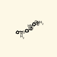 N[C@H](COc1ccc(-c2ccnc(Nc3ccc(S(N)(=O)=O)cc3)n2)cc1)Cc1ccccc1